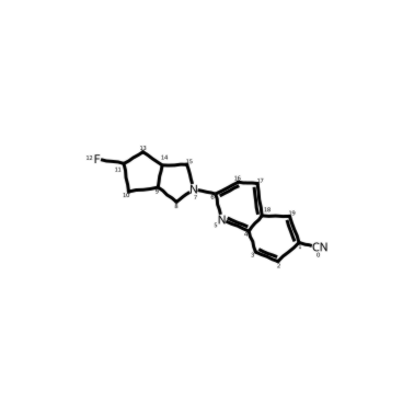 N#Cc1ccc2nc(N3CC4CC(F)CC4C3)ccc2c1